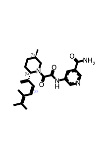 C=C(/C=C\C(C)=C(C)C)[C@@H]1CC[C@@H](C)CN1C(=O)C(=O)Nc1cncc(C(N)=O)c1